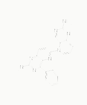 NC1=NC2=CC=CN(c3ccc4nc(N)nc(-c5ccccc5)c4n3)C2C=N1